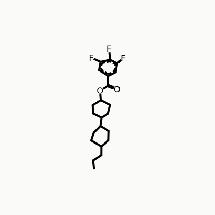 CCCC1CCC(C2CCC(OC(=O)c3cc(F)c(F)c(F)c3)CC2)CC1